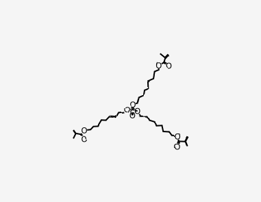 C=C(C)C(=O)OCCCCCCCCCOP(=O)(OCCCCCCCCCOC(=O)C(=C)C)OCCCCCCCCCOC(=O)C(=C)C